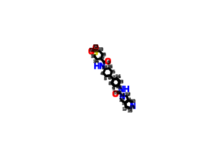 O=C(NC1CC=C(c2ccc(NC(=O)N3Cc4ccncc4C3)cc2)CC1)C1CCS(=O)(=O)CC1